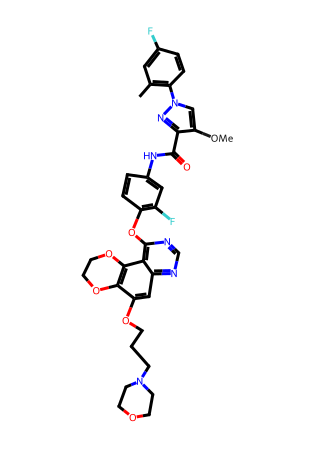 COc1cn(-c2ccc(F)cc2C)nc1C(=O)Nc1ccc(Oc2ncnc3cc(OCCCN4CCOCC4)c4c(c23)OCCO4)c(F)c1